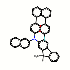 CC1(C)c2ccccc2-c2ccc(N(c3ccc(-c4cccc5cccc(-c6ccc(F)cc6)c45)cc3)c3ccc4ccccc4c3)cc21